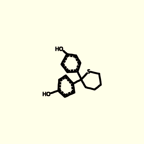 Oc1ccc(C2(c3ccc(O)cc3)CCCCS2)cc1